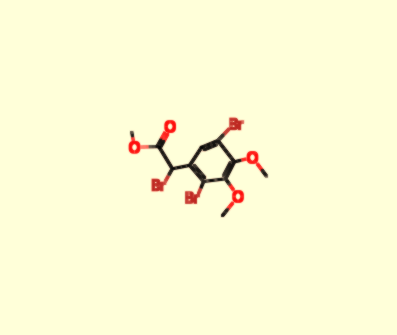 COC(=O)C(Br)c1cc(Br)c(OC)c(OC)c1Br